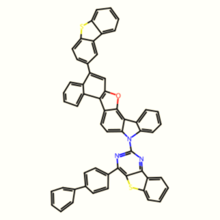 c1ccc(-c2ccc(-c3nc(-n4c5ccccc5c5c6oc7cc(-c8ccc9sc%10ccccc%10c9c8)c8ccccc8c7c6ccc54)nc4c3sc3ccccc34)cc2)cc1